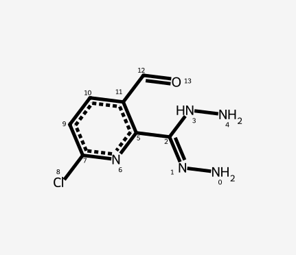 N/N=C(\NN)c1nc(Cl)ccc1C=O